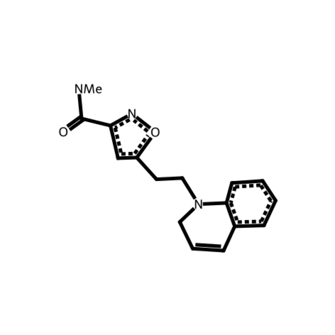 CNC(=O)c1cc(CCN2CC=Cc3ccccc32)on1